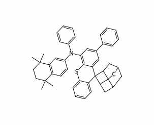 CC1(C)CCC(C)(C)c2cc(N(c3ccccc3)c3cc(-c4ccccc4)cc4c3Sc3ccccc3C43C4CC5CC6CC3C64C5)ccc21